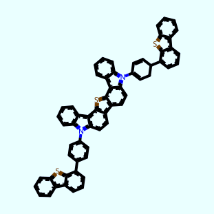 C1=CC(c2cccc3c2sc2ccccc23)CC=C1n1c2ccccc2c2c3sc4c(ccc5c4c4ccccc4n5-c4ccc(-c5cccc6c5sc5ccccc56)cc4)c3ccc21